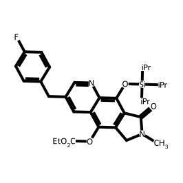 CCOC(=O)Oc1c2c(c(O[Si](C(C)C)(C(C)C)C(C)C)c3ncc(Cc4ccc(F)cc4)cc13)C(=O)N(C)C2